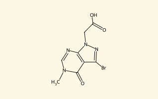 Cn1cnc2c(c(Br)nn2CC(=O)O)c1=O